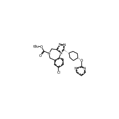 CC(C)(C)OC(=O)N1Cc2cc(Cl)ccc2-n2c(nnc2[C@H]2CC[C@@H](Oc3ncccn3)CC2)C1